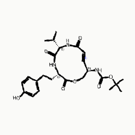 CC(C)[C@@H]1NC(=O)/C=C/[C@@H](NC(=O)OC(C)(C)C)COC(=O)[C@H](CCc2ccc(O)cc2)NC1=O